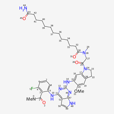 CNC(=O)c1c(F)cccc1Nc1nc(Nc2cc3c(cc2OC)CCN3C(=O)CN(C)C(=O)CCCCCCCCCCCC(N)=O)nc2[nH]ccc12